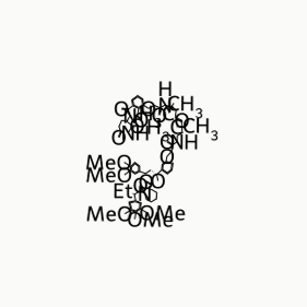 CC[C@H](C(=O)N1CCCC[C@H]1C(=O)O[C@H](CCc1ccc(OC)c(OC)c1)c1cccc(OCC(=O)NCCC(C)(C)OCCC(C)(C)NC(=O)COc2cccc3c2C(=O)N(C2CCC(=O)NC2=O)C3=O)c1)c1cc(OC)c(OC)c(OC)c1